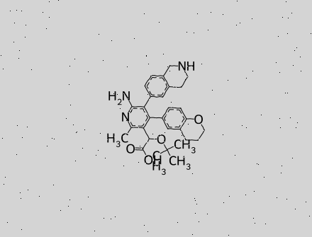 Cc1nc(N)c(-c2ccc3c(c2)CCNC3)c(-c2ccc3c(c2)CCCO3)c1C(OC(C)(C)C)C(=O)O